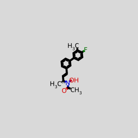 CC(=O)N(O)[C@@H](C)C=Cc1cccc(-c2ccc(F)c(C)c2)c1